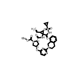 C=CC1CC1(NC(=O)[C@@H]1C[C@@H](Oc2ccnc(N3CCc4ccccc4C3)n2)CN1C(=O)OC(C)(C)C)C(=O)NS(=O)(=O)C1CC1